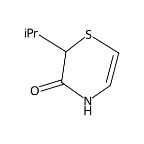 CC(C)C1SC=CNC1=O